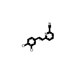 N#Cc1cccc(/C=C/c2ccc(Cl)c(Cl)c2)n1